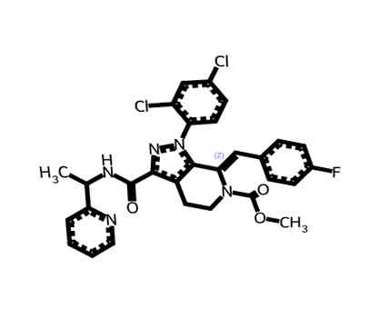 COC(=O)N1CCc2c(C(=O)NC(C)c3ccccn3)nn(-c3ccc(Cl)cc3Cl)c2/C1=C/c1ccc(F)cc1